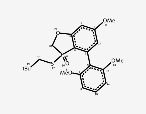 COc1cc2c(c(-c3c(OC)cccc3OC)c1)P(=O)(SCC(C)(C)C)CO2